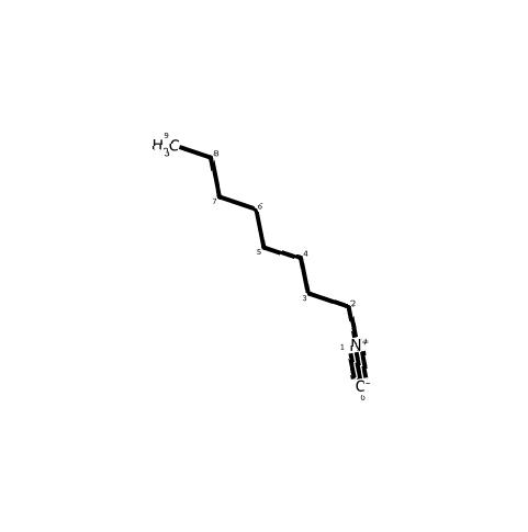 [C-]#[N+][CH]CCCCCCC